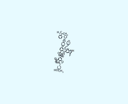 CC(C)c1ccccc1[C@@H]1CCC[C@@H]1N1CC2(CCN(c3ccc(C(=O)NS(=O)(=O)c4cc5c(c([N+](=O)[O-])c4)N[C@@H]([C@H]4CC[C@](C)(O)CC4)CO5)c(Oc4cc5c(F)c[nH]c5nc4OCCN4CCOCC4)c3)CC2)C1